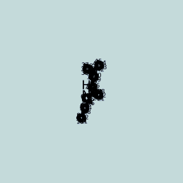 C1=C[C@@]2(c3ccc(-c4ccccc4)cc3)CC2C(n2c3ccccc3c3cc(-c4ccc5c(c4)c4ccccc4n5-c4ccccc4)ccc32)N1